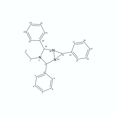 CCN1C(c2ccccc2)N2C(c3ccccc3)N2C1c1ccccc1